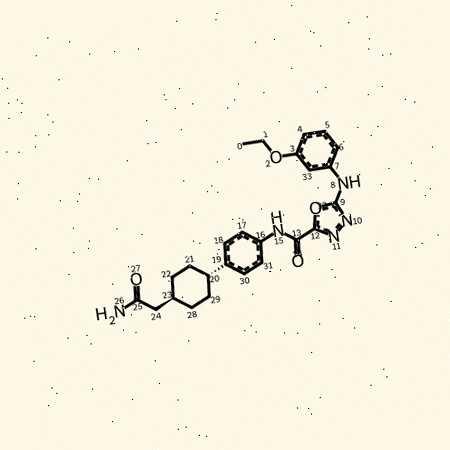 CCOc1cccc(Nc2nnc(C(=O)Nc3ccc([C@H]4CC[C@H](CC(N)=O)CC4)cc3)o2)c1